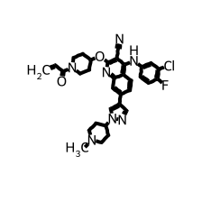 C=CC(=O)N1CCC(Oc2nc3cc(-c4cnn(C5CCN(C)CC5)c4)ccc3c(Nc3ccc(F)c(Cl)c3)c2C#N)CC1